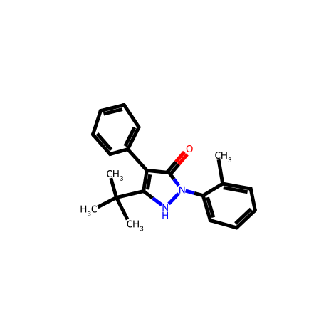 Cc1ccccc1-n1[nH]c(C(C)(C)C)c(-c2ccccc2)c1=O